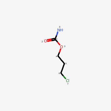 [NH]C(=O)OCCCCl